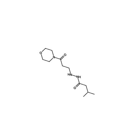 CC(C)CC(=O)NNCCC(=O)N1CCOCC1